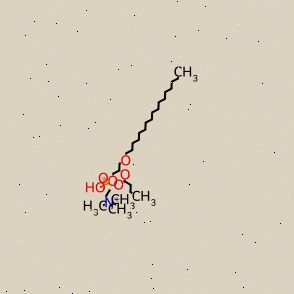 CCCCCCCCCCCCCCCCCOCC(COP(=O)(O)CC[N+](C)(C)C)OC(=O)CCC